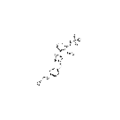 Nc1c(-c2cc(Cc3ccc(OCC4CC4)nc3)no2)ccc[n+]1COP(=O)([O-])O